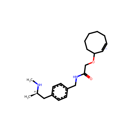 CN[C@H](C)Cc1ccc(CNC(=O)COC2/C=C\CCCCC2)cc1